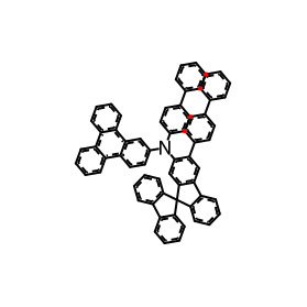 c1ccc(-c2ccc(-c3cc4c(cc3N(c3ccc(-c5ccccc5)cc3)c3ccc5c6ccccc6c6ccccc6c5c3)C3(c5ccccc5-c5ccccc53)c3ccccc3-4)cc2)cc1